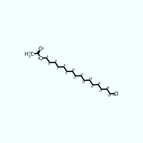 CC(=O)OCCCCCCCCCCCCCCCCCl